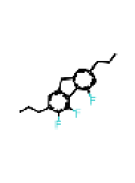 CCCc1cc(F)c2c(c1)Cc1cc(CCC)c(F)c(F)c1-2